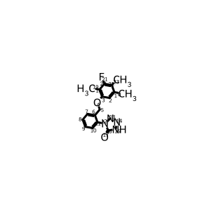 Cc1cc(OCc2ccccc2-n2nn[nH]c2=O)c(C)c(F)c1C